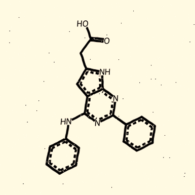 O=C(O)Cc1cc2c(Nc3ccccc3)nc(-c3ccccc3)nc2[nH]1